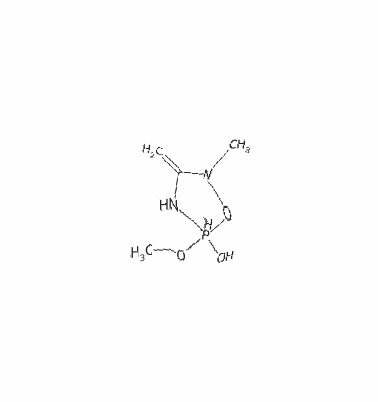 C=C1N[PH](O)(OC)ON1C